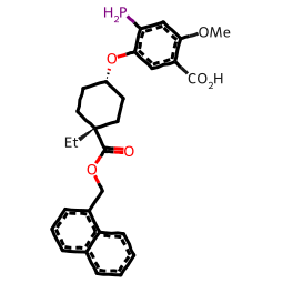 CC[C@]1(C(=O)OCc2cccc3ccccc23)CC[C@@H](Oc2cc(C(=O)O)c(OC)cc2P)CC1